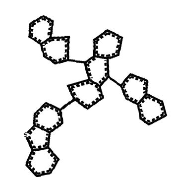 c1ccc2cc(-c3c4ccccc4c(-c4ccc5ccccc5c4)c4cc(-c5ccc6sc7ccccc7c6c5)ccc34)ccc2c1